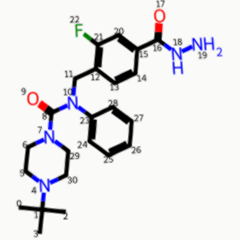 CC(C)(C)N1CCN(C(=O)N(Cc2ccc(C(=O)NN)cc2F)c2ccccc2)CC1